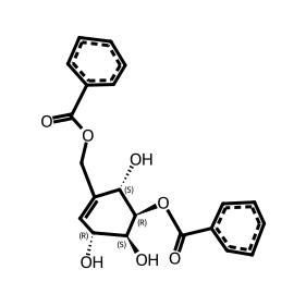 O=C(OCC1=C[C@@H](O)[C@H](O)[C@H](OC(=O)c2ccccc2)[C@H]1O)c1ccccc1